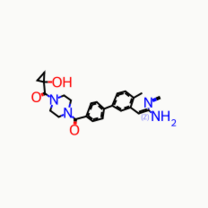 C=N/C(N)=C\c1cc(-c2ccc(C(=O)N3CCN(C(=O)C4(O)CC4)CC3)cc2)ccc1C